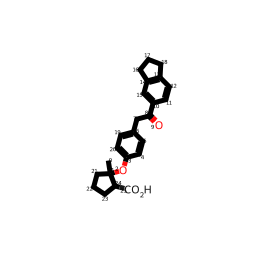 CC1(Oc2ccc(CC(=O)c3ccc4c(c3)CCC4)cc2)CCCC1C(=O)O